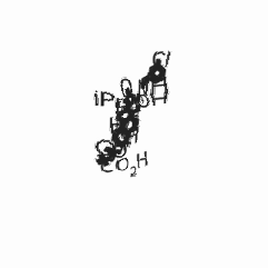 CC(C)C1=C2[C@H]3CC[C@@H]4[C@@]5(C)CC[C@H](OC(=O)CC(C)(C)C(=O)O)[C@H](C)[C@@H]5CC[C@@]4(C)[C@]3(C)CC[C@@]2([C@@H](O)CNCc2cccc(Cl)c2)CC1=O